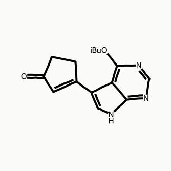 CC(C)COc1ncnc2[nH]cc(C3=CC(=O)CC3)c12